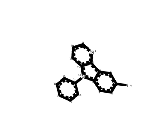 Ic1ccc2c(c1)c1ncccc1n2-c1ccccc1